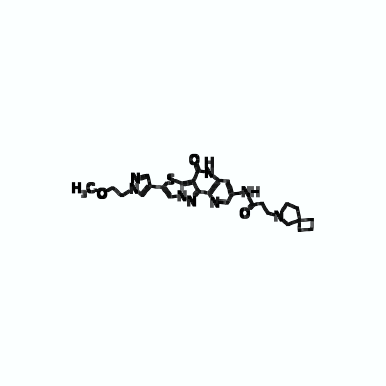 COCCn1cc(-c2cn3nc4c5ncc(NC(=O)CCN6CCC7(CCC7)C6)cc5[nH]c(=O)c4c3s2)cn1